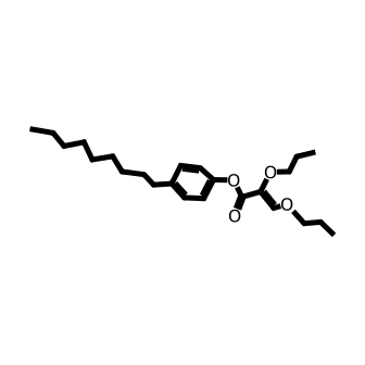 CCCCCCCCCc1ccc(OC(=O)C(=COCCC)OCCC)cc1